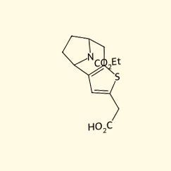 CCOC(=O)N1C2CCC1c1cc(CC(=O)O)sc1C2